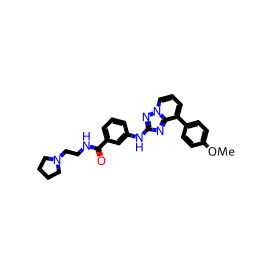 COc1ccc(-c2cccn3nc(Nc4cccc(C(=O)NCCN5CCCC5)c4)nc23)cc1